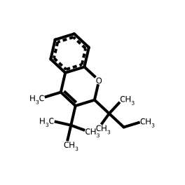 CCC(C)(C)C1Oc2ccccc2C(C)=C1C(C)(C)C